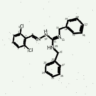 Clc1cccc(Cl)c1/C=N/N/C(=N\Cc1ccccc1)NCc1ccccc1